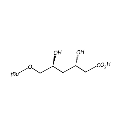 CC(C)(C)OC[C@@H](O)C[C@H](O)CC(=O)O